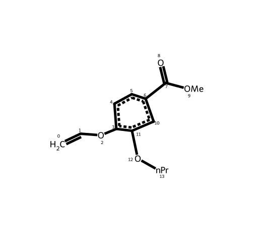 C=COc1ccc(C(=O)OC)cc1OCCC